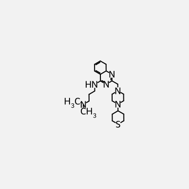 CN(C)CCCNC1=NC(CN2CCN(C3CCSCC3)CC2)=NC2CC=CC=C12